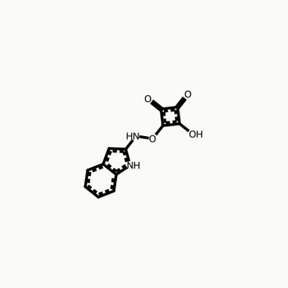 O=c1c(O)c(ONc2cc3ccccc3[nH]2)c1=O